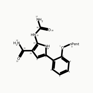 CCCCCOc1ccccc1-c1cc(C(N)=O)c(NC(N)=O)[nH]1